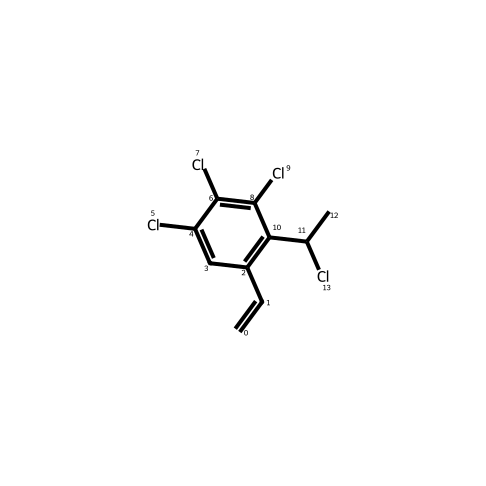 C=Cc1cc(Cl)c(Cl)c(Cl)c1C(C)Cl